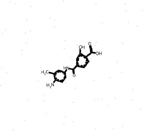 Cc1cc(NC(=O)c2ccc(C(=O)O)c(O)c2)ccc1N